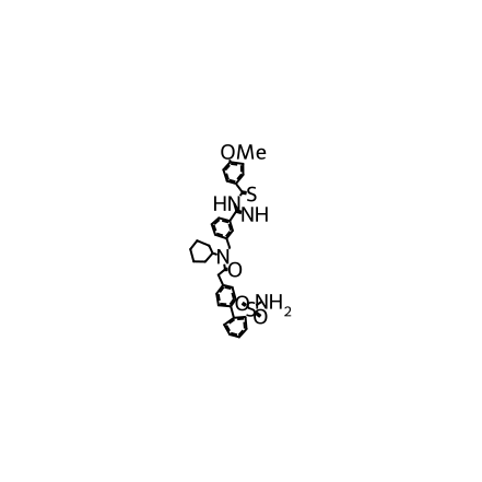 COc1ccc(C(=S)NC(=N)c2cccc(CN(C(=O)Cc3ccc(-c4ccccc4S(N)(=O)=O)cc3)C3CCCCC3)c2)cc1